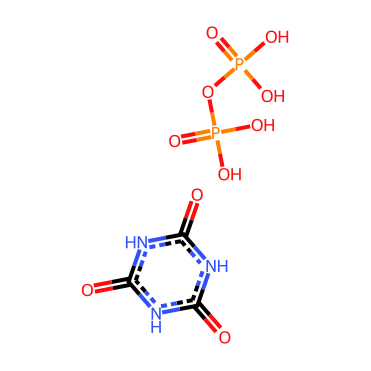 O=P(O)(O)OP(=O)(O)O.O=c1[nH]c(=O)[nH]c(=O)[nH]1